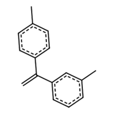 C=C(c1ccc(C)cc1)c1cccc(C)c1